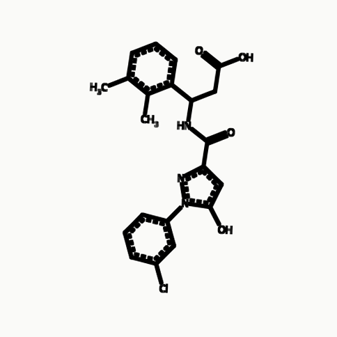 Cc1cccc(C(CC(=O)O)NC(=O)c2cc(O)n(-c3cccc(Cl)c3)n2)c1C